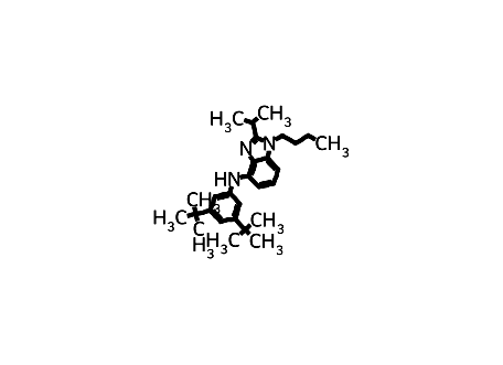 CCCCn1c(C(C)C)nc2c(Nc3cc(C(C)(C)C)cc(C(C)(C)C)c3)cccc21